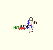 CC(C)Oc1nc2ccsc2nc1N.Cl.O=C(O)O.O=C(O)O.c1ccccc1.c1ccccc1